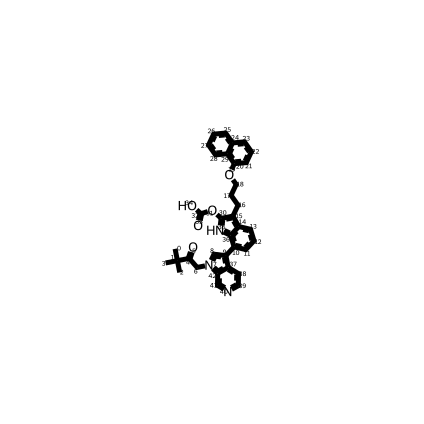 CC(C)(C)C(=O)Cn1cc(-c2cccc3c(CCCOc4cccc5ccccc45)c(OC(=O)O)[nH]c23)c2ccncc21